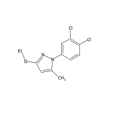 [CH2]COc1cc(C)n(-c2ccc(Cl)c(Cl)c2)n1